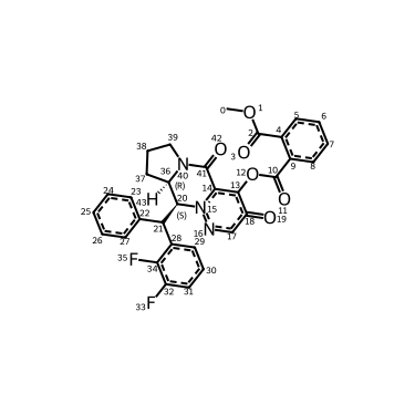 COC(=O)c1ccccc1C(=O)Oc1c2n(ncc1=O)[C@@H](C(c1ccccc1)c1cccc(F)c1F)[C@H]1CCCN1C2=O